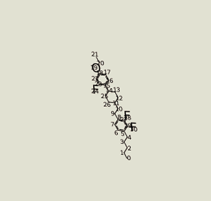 CCCCCc1ccc(CCC2CCC(c3ccc(OCC)cc3F)CC2)c(F)c1F